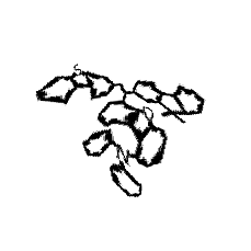 CC1(C)c2ccccc2-c2ccc(/C(=C/c3ccc4c(c3)sc3ccccc34)c3cccc4c3oc3cccc(N(c5ccccc5)c5ccccc5)c34)cc21